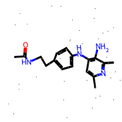 CC(=O)NCCc1ccc(Nc2cc(C)nc(C)c2N)cc1